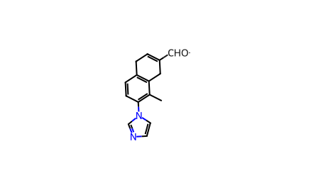 Cc1c(-n2ccnc2)ccc2c1CC([C]=O)=CC2